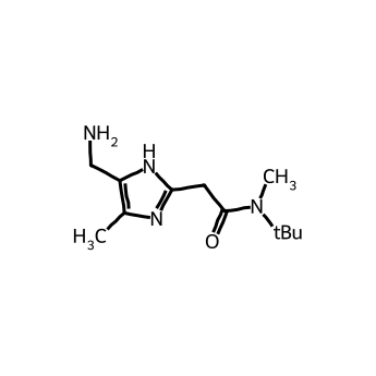 Cc1nc(CC(=O)N(C)C(C)(C)C)[nH]c1CN